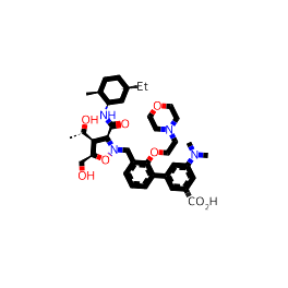 CC[C@@H]1CC[C@H](C)[C@@H](NC(=O)[C@@H]2[C@H]([C@H](C)O)[C@H](CO)ON2Cc2cccc(-c3cc(C(=O)O)cc(N(C)C)c3)c2OCCN2CCOCC2)C1